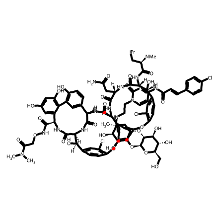 CN[C@H](CC(C)C)C(=O)N[C@H]1C(=O)N[C@@H](CC(N)=O)C(=O)N[C@H]2C(=O)N[C@H]3C(=O)N[C@H](C(=O)N[C@@H](C(=O)NOCC(=O)N(C)C)c4cc(O)cc(O)c4-c4cc3ccc4O)[C@H](O)c3ccc(c(Cl)c3)Oc3cc2cc(c3O[C@@H]2O[C@H](CO)[C@@H](O)[C@H](O)[C@H]2O[C@H]2C[C@](C)(NCCn3ccc(NC(=O)/C=C/c4ccc(Cl)cc4)nc3=O)[C@H](O)[C@H](C)O2)Oc2ccc(cc2Cl)[C@H]1O